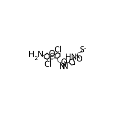 CSCCC(=O)Nc1cccc(-c2nnc(Cc3ccc(Cl)c(Oc4cc(N)cc(Cl)c4)c3F)o2)c1